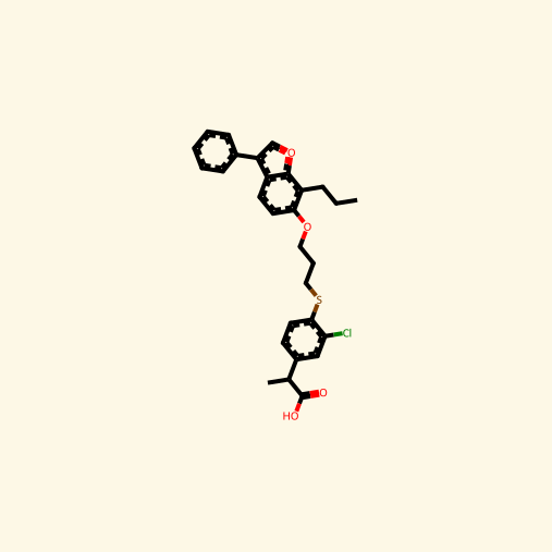 CCCc1c(OCCCSc2ccc(C(C)C(=O)O)cc2Cl)ccc2c(-c3ccccc3)coc12